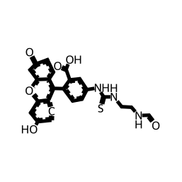 O=CNCCNC(=S)Nc1ccc(-c2c3ccc(=O)cc-3oc3cc(O)ccc23)c(C(=O)O)c1